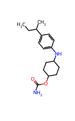 CCC(C)c1ccc(NC2CCC(OC(N)=O)CC2)cc1